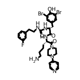 NCCCC[C@H](NC(=O)[C@@H](Cc1cc(Br)c(O)c(Br)c1)NC(=O)NCCc1cccc(F)c1)C(=O)N1CCN(c2ccncc2)CC1